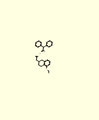 NC(=NOC(=O)CC1CCc2c(cccc2OCC(=O)O)C1)C(c1ccccc1)c1ccccc1